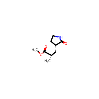 COC(=O)[C@@H](C)C[C@@H]1CCNC1=O